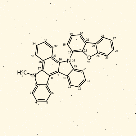 Cn1c2ccccc2c2c3c4ccccc4n(-c4cccc5c4oc4ccccc45)c3c3ccccc3c21